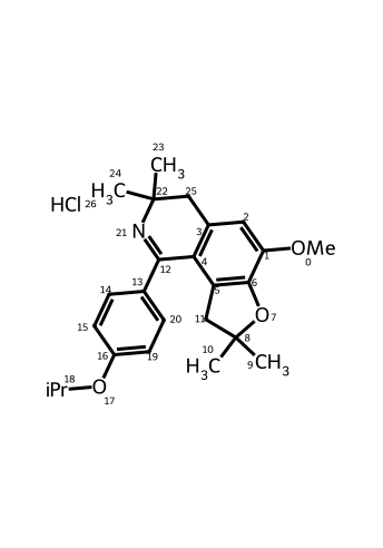 COc1cc2c(c3c1OC(C)(C)C3)C(c1ccc(OC(C)C)cc1)=NC(C)(C)C2.Cl